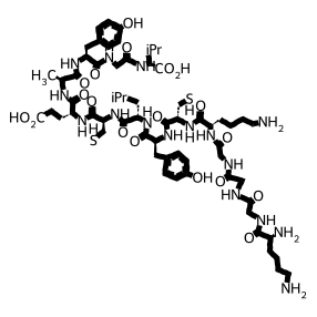 CC(C)C[C@H](NC(=O)[C@H](Cc1ccc(O)cc1)NC(=O)[C@H](CS)NC(=O)[C@H](CCCCN)NC(=O)CNC(=O)CNC(=O)CNC(=O)[C@@H](N)CCCCN)C(=O)N[C@@H](CS)C(=O)N[C@H](CCC(=O)O)C(=O)N[C@@H](C)C(=O)N[C@@H](Cc1ccc(O)cc1)C(=O)NCC(=O)N[C@H](C(=O)O)C(C)C